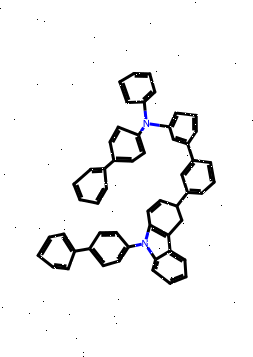 C1=CC(c2cccc(-c3cccc(N(c4ccccc4)c4ccc(-c5ccccc5)cc4)c3)c2)Cc2c1n(-c1ccc(-c3ccccc3)cc1)c1ccccc21